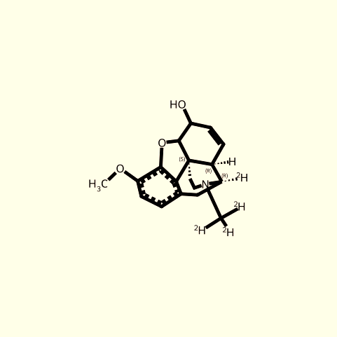 [2H]C([2H])([2H])N1CC[C@]23c4c5ccc(OC)c4OC2C(O)C=C[C@H]3[C@@]1([2H])C5